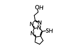 OCCc1nc2nc3c(c(S)n2n1)CCC3